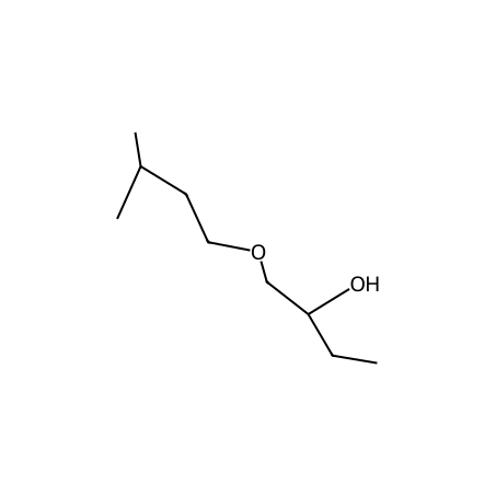 CCC(O)COCCC(C)C